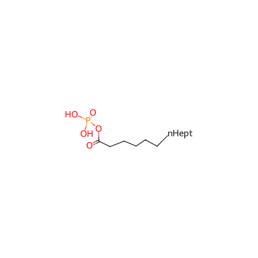 CCCCCCCCCCCCC(=O)OP(=O)(O)O